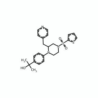 CC(C)(O)c1ccc(N2CCN(S(=O)(=O)c3cccs3)CC2Cc2ccncc2)cc1